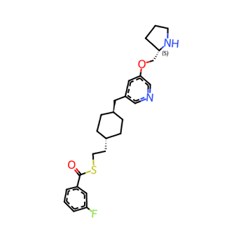 O=C(SCC[C@H]1CC[C@H](Cc2cncc(OC[C@@H]3CCCN3)c2)CC1)c1cccc(F)c1